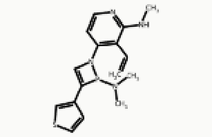 C=Cc1c(-n2cc(-c3ccsc3)p2N(C)C)ccnc1NC